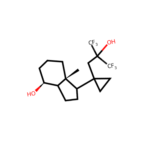 C[C@]12CCC[C@H](O)C1CCC2C1(CC(O)(C(F)(F)F)C(F)(F)F)CC1